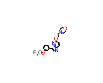 FC(F)(F)Oc1cccc(-c2cnc3ccc(OCCN4CCOCC4)nn23)c1